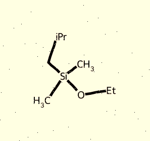 CCO[Si](C)(C)CC(C)C